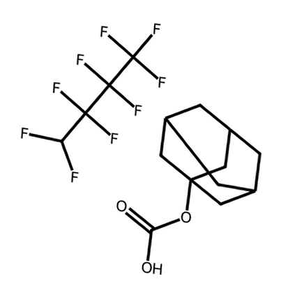 FC(F)C(F)(F)C(F)(F)C(F)(F)F.O=C(O)OC12CC3CC(CC(C3)C1)C2